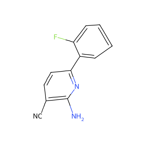 N#Cc1ccc(-c2ccccc2F)nc1N